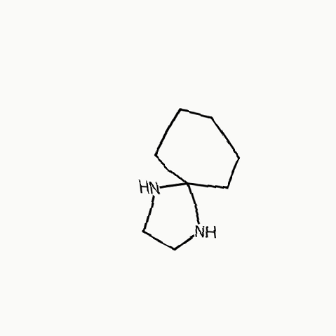 C1CCC2(CC1)NCCN2